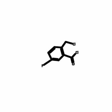 O=C(Cl)c1cc(F)ccc1CCl